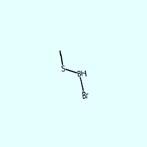 CSBBr